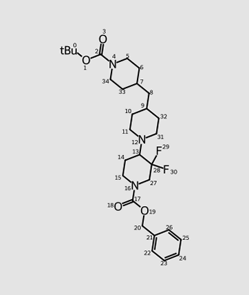 CC(C)(C)OC(=O)N1CCC(CC2CCN(C3CCN(C(=O)OCc4ccccc4)CC3(F)F)CC2)CC1